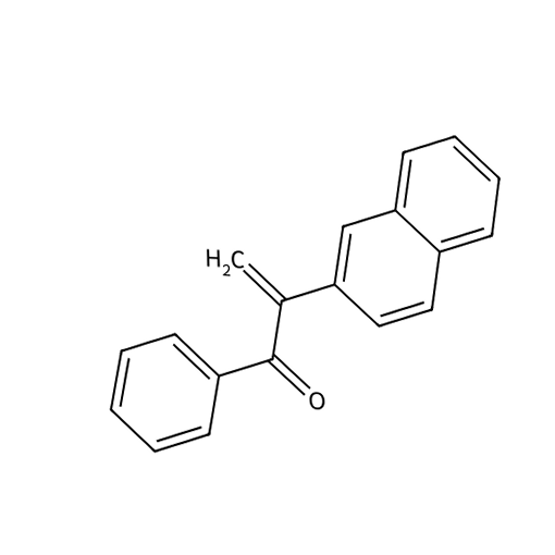 C=C(C(=O)c1ccccc1)c1ccc2ccccc2c1